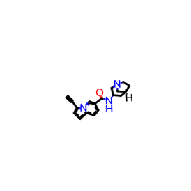 C#Cc1ccc2ccc(C(=O)N[C@@H]3C[C@@H]4CCN(C4)C3)cn12